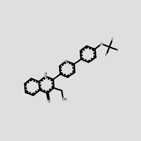 O=c1c(CO)c(-c2ccc(-c3ccc(OC(F)(F)F)cc3)nc2)[nH]c2ccccc12